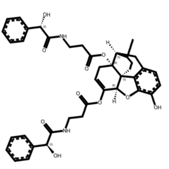 CC1CC[C@]23c4c5ccc(O)c4O[C@H]2C(OC(=O)CCNC(=O)[C@@H](O)c2ccccc2)=CC[C@@]3(OC(=O)CCNC(=O)[C@@H](O)c2ccccc2)[C@H]1C5